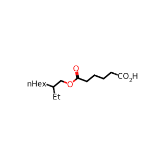 CCCCCCC(CC)COC(=O)CCCCC(=O)O